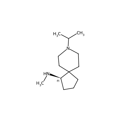 CN[C@@H]1CCCC12CCN(C(C)C)CC2